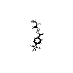 CCS(=O)(=O)c1ccc(C(C)OOC(=O)NC(C)(C)C)cc1